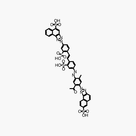 CC(=O)c1cc(N=Nc2ccc(C=Cc3ccc(-n4n5c6cc(S(=O)(=O)O)c7ccccc7c6n45)cc3S(=O)(=O)O)c(S(=O)(=O)O)c2)c(C)cc1-n1n2c3ccc4cc(S(=O)(=O)O)ccc4c3n12